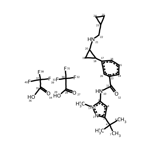 Cn1nc(C(C)(C)C)cc1NC(=O)c1cccc(C2CC2NCC2CC2)c1.O=C(O)C(F)(F)F.O=C(O)C(F)(F)F